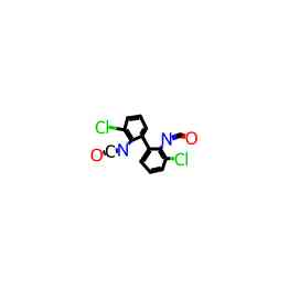 O=C=Nc1c(Cl)cccc1-c1cccc(Cl)c1N=C=O